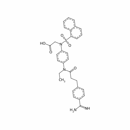 CCN(C(=O)CCc1ccc(C(=N)N)cc1)c1ccc(N(CC(=O)O)S(=O)(=O)c2cccc3ccccc23)cc1